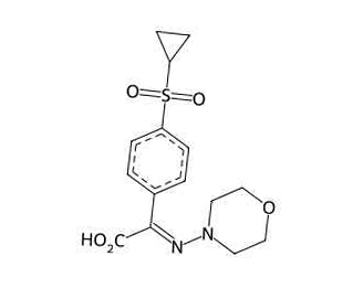 O=C(O)C(=NN1CCOCC1)c1ccc(S(=O)(=O)C2CC2)cc1